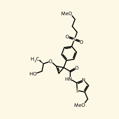 COCCCS(=O)(=O)c1ccc(C2(C(=O)Nc3ncc(COC)s3)C=C2O[C@H](C)CO)cc1